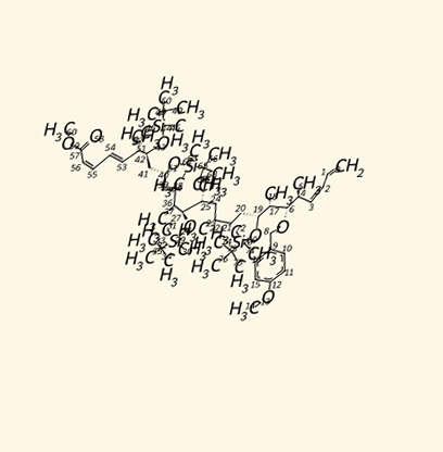 C=C/C=C\[C@H](C)[C@H](OCc1ccc(OC)cc1)[C@@H](C)[C@@H](CC[C@H](C)C[C@@H](C)[C@@H](O[Si](C)(C)C(C)(C)C)[C@@H](C)C=C[C@H](C[C@H](O[Si](C)(C)C(C)(C)C)[C@@H](C)/C=C/C=C\C(=O)OC)O[Si](C)(C)C(C)(C)C)O[Si](C)(C)C(C)(C)C